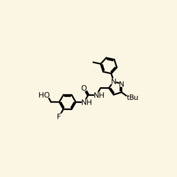 Cc1cccc(-n2nc(C(C)(C)C)cc2CNC(=O)Nc2ccc(CO)c(F)c2)c1